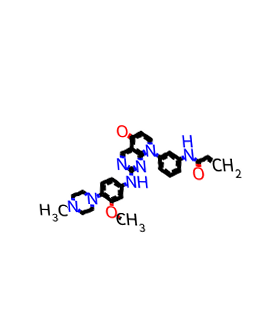 C=CC(=O)Nc1cccc(-n2ccc(=O)c3cnc(Nc4ccc(N5CCN(C)CC5)c(OC)c4)nc32)c1